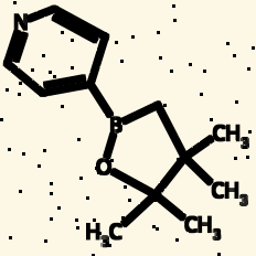 CC1(C)CB(c2ccncc2)OC1(C)C